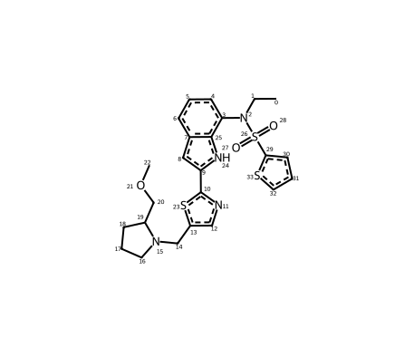 CCN(c1cccc2cc(-c3ncc(CN4CCCC4COC)s3)[nH]c12)S(=O)(=O)c1cccs1